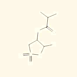 CC(C)C(=O)OC1CS(=O)(=O)OC1F